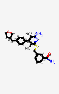 N#Cc1c(N)nc(SCc2cccc(C(N)=O)c2)c(C#N)c1-c1ccc(CC2CCOC2)cc1